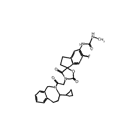 CNC(=O)Nc1cc2c(cc1F)C1(CC2)OC(=O)N(CC(=O)N2Cc3ccccc3CCC2C2CC2)C1=O